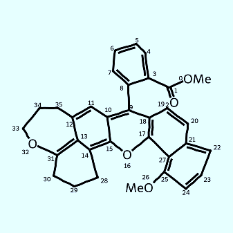 COC(=O)c1ccccc1C1=c2cc3c4c(c2Oc2c1ccc1cccc(OC)c21)CCCC=4OCCC3